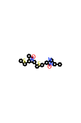 O=c1c2ccccc2c2cc(-c3cccc4c3sc3ccccc34)cc3c4cc(-c5cccc6c5sc5cc(-c7ccc8c(c7)c(=O)n7c9ccc(-c%10ccccc%10)cc9c9ccnc8c97)ccc56)ccc4n1c23